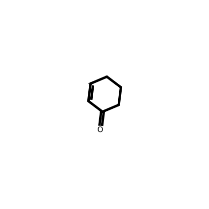 O=C1C=[C]CCC1